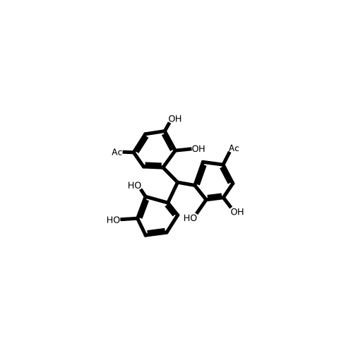 CC(=O)c1cc(O)c(O)c(C(c2cccc(O)c2O)c2cc(C(C)=O)cc(O)c2O)c1